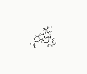 CC(=O)c1ccc2c(c1)[C@H](Nc1ccc(F)c(Cl)c1)C(NCC(C)(C)C(=O)O)CO2